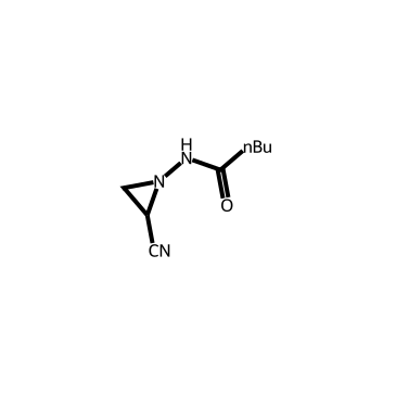 CCCCC(=O)NN1CC1C#N